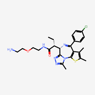 CC[C@@H](C(=O)NCCOCCN)[C@@H]1N=C(c2ccc(Cl)cc2)c2c(sc(C)c2C)-n2c(C)nnc21